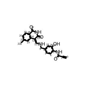 C#CC(=O)Nc1ccc(CNC=C2C(=O)NC(=O)c3ccc(I)cc32)cc1O